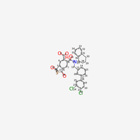 O=C(O)c1cc2c(cc1C(=O)N(Cc1cccc(-c3ccc(Cl)c(Cl)c3)c1)[C@H]1CCCc3ccccc31)C(=O)SC2=O